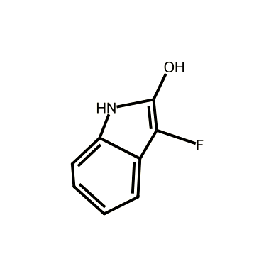 Oc1[nH]c2ccccc2c1F